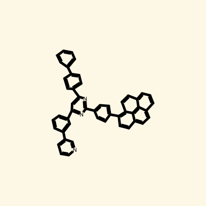 c1ccc(-c2ccc(-c3cc(-c4cccc(-c5cccnc5)c4)nc(-c4ccc(-c5ccc6ccc7cccc8ccc5c6c78)cc4)n3)cc2)cc1